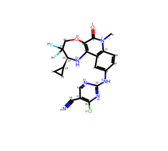 Cn1c(=O)c2c(c3cc(Nc4ncc(C#N)c(Cl)n4)ccc31)N[C@@H](C1CC1)C(F)(F)CO2